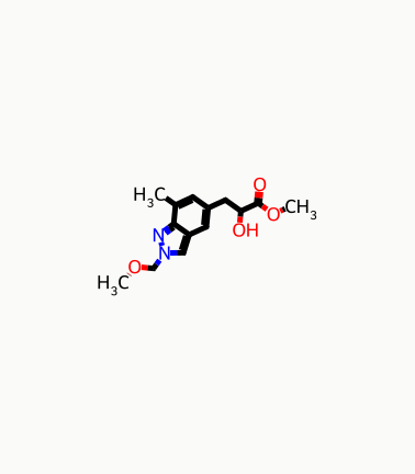 COCn1cc2cc(CC(O)C(=O)OC)cc(C)c2n1